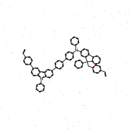 C=Cc1ccc(CC2(c3ccccc3)c3ccccc3-c3ccc(N(c4ccccc4)c4ccc(-c5ccc(-c6ccc7c(c6)c6cc(-c8ccc(C=C)cc8)ccc6n7-c6ccccc6)cc5)cc4)cc32)cc1